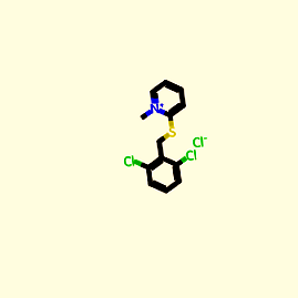 C[n+]1ccccc1SCc1c(Cl)cccc1Cl.[Cl-]